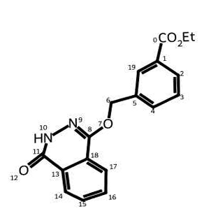 CCOC(=O)c1cccc(COc2n[nH]c(=O)c3ccccc23)c1